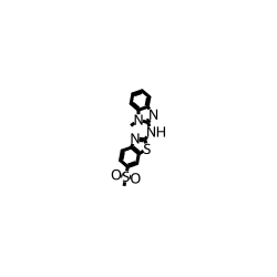 Cn1c(Nc2nc3ccc(S(C)(=O)=O)cc3s2)nc2ccccc21